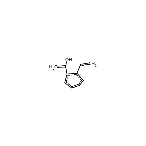 C=Cc1ccccc1C(=C)O